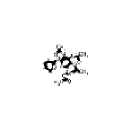 CC(=O)OC[C@@H]1S[C@H](OC2CCCCO2)[C@H](OC(C)=O)[C@@H](OC(C)=O)[C@@H]1OC(C)=O